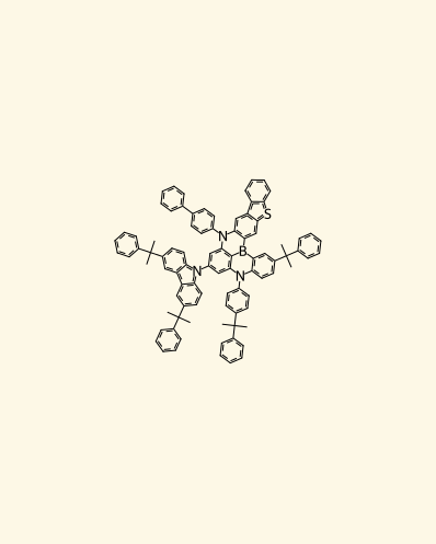 CC(C)(c1ccccc1)c1ccc(N2c3ccc(C(C)(C)c4ccccc4)cc3B3c4cc5sc6ccccc6c5cc4N(c4ccc(-c5ccccc5)cc4)c4cc(-n5c6ccc(C(C)(C)c7ccccc7)cc6c6cc(C(C)(C)c7ccccc7)ccc65)cc2c43)cc1